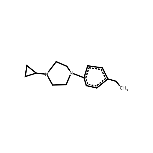 CCc1ccc(N2CCN(C3CC3)CC2)cc1